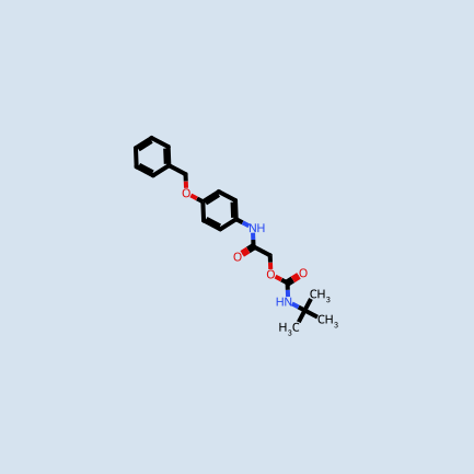 CC(C)(C)NC(=O)OCC(=O)Nc1ccc(OCc2ccccc2)cc1